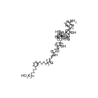 CC(C)(CCCCc1cccc(CCCCC(C)(C)C(=O)SCCNC(=O)CCNC(=O)[C@H](O)C(C)(C)COP(=O)(O)OP(=O)(O)OC[C@H]2O[C@@H](n3cnc4c(N)ncnc43)[C@H](O)[C@@H]2OP(=O)(O)O)c1)C(=O)O